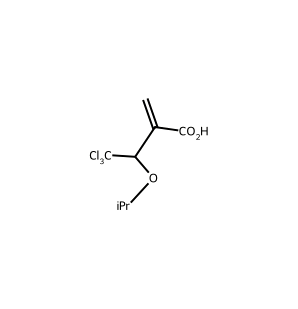 C=C(C(=O)O)C(OC(C)C)C(Cl)(Cl)Cl